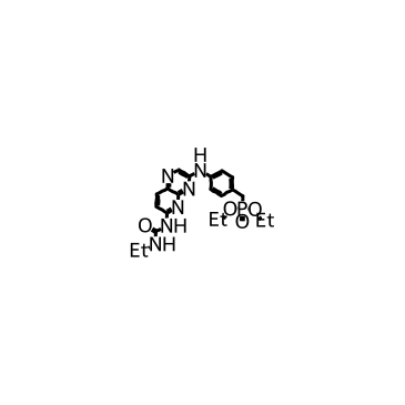 CCNC(=O)Nc1ccc2ncc(Nc3ccc(CP(=O)(OCC)OCC)cc3)nc2n1